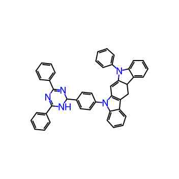 C1=C2C(Cc3c1n(-c1ccc(C4N=C(c5ccccc5)N=C(c5ccccc5)N4)cc1)c1ccccc31)c1ccccc1N2c1ccccc1